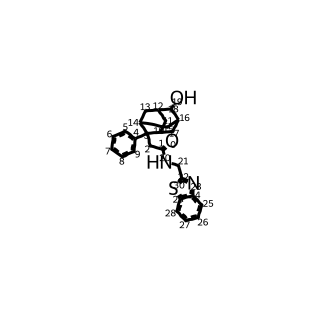 O=C(CC1(c2ccccc2)C2CC3CC1CC(C2)C3O)NCc1nc2ccccc2s1